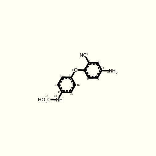 N#Cc1cc(N)ccc1Oc1ccc(NC(=O)O)cc1